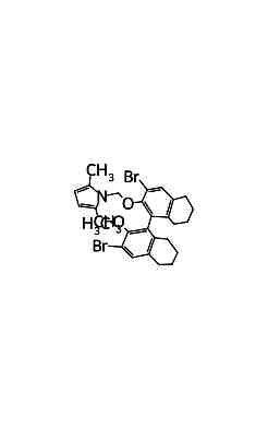 COc1c(Br)cc2c(c1-c1c3c(cc(Br)c1OCn1c(C)ccc1C)CCCC3)CCCC2